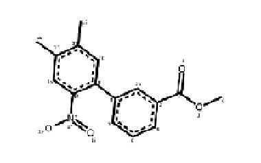 COC(=O)c1cccc(-c2cc(C)c(C)cc2[N+](=O)[O-])c1